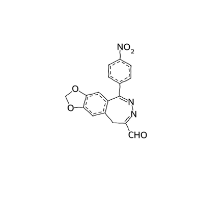 O=CC1=NN=C(c2ccc([N+](=O)[O-])cc2)c2cc3c(cc2C1)OCO3